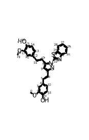 COc1cc(/C=C/c2cc(/C=C/c3ccc(O)c(OC)c3)n(-c3nc4ccccc4s3)n2)ccc1O